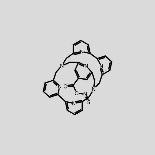 O=C(ON=S)c1cc2nc(c1)CN1Cc3cccc(n3)-c3cccc(n3)CN(C2)Cc2cccc(n2)-c2cccc(n2)C1